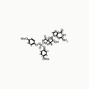 COc1ccc(OSP(=O)(OC[C@@]2(C(F)F)O[C@@H](n3cnc4c(=O)[nH]c(N)nc43)[C@H](O)C2(F)F)Oc2ccc(OC)cc2)cc1